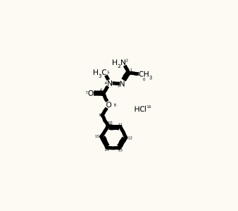 CC(N)=NN(C)C(=O)OCc1ccccc1.Cl